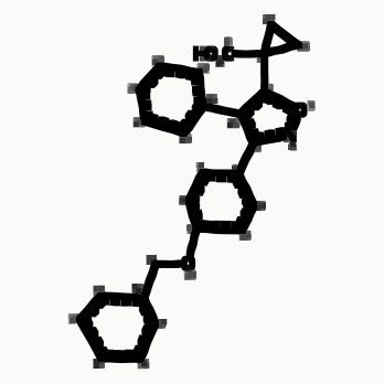 O=C(O)C1(c2onc(-c3ccc(OCc4ccccc4)cc3)c2-c2ccccc2)CC1